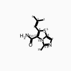 CC(C)=Cc1sc2cnc(C)n2c1C(N)=O